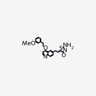 COc1cccc(CCOc2ccnc3ccc(C/C=C4\SC(N)=NC4=O)cc23)c1